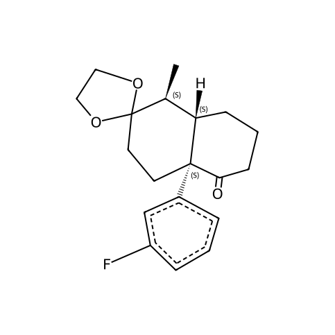 C[C@H]1[C@@H]2CCCC(=O)[C@@]2(c2cccc(F)c2)CCC12OCCO2